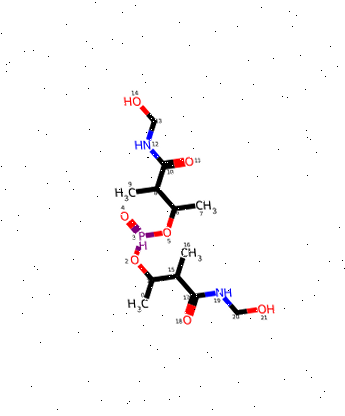 CC(O[PH](=O)OC(C)C(C)C(=O)NCO)C(C)C(=O)NCO